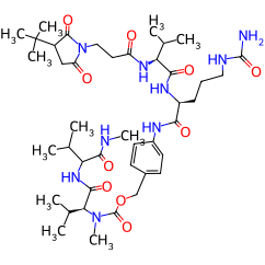 CNC(=O)C(NC(=O)[C@H](C(C)C)N(C)C(=O)OCc1ccc(NC(=O)[C@H](CCCNC(N)=O)NC(=O)[C@@H](NC(=O)CCN2C(=O)CC(C(C)(C)C)C2=O)C(C)C)cc1)C(C)C